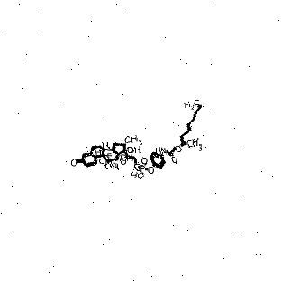 C=CCCCCCC(C)OCC(=O)Nc1ccc(OP(=O)(O)OCC(=O)[C@@]2(O)[C@H](C)C[C@H]3[C@@H]4CCC5=CC(=O)C=C[C@]5(C)[C@@]4(F)[C@@H](O)C[C@@]32C)cc1